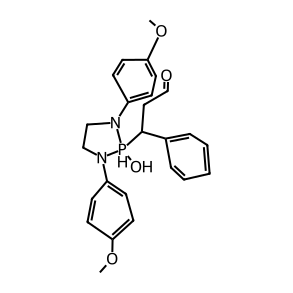 COc1ccc(N2CCN(c3ccc(OC)cc3)[PH]2(O)C(CC=O)c2ccccc2)cc1